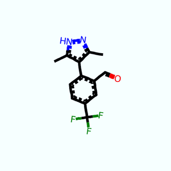 Cc1n[nH]c(C)c1-c1ccc(C(F)(F)F)cc1C=O